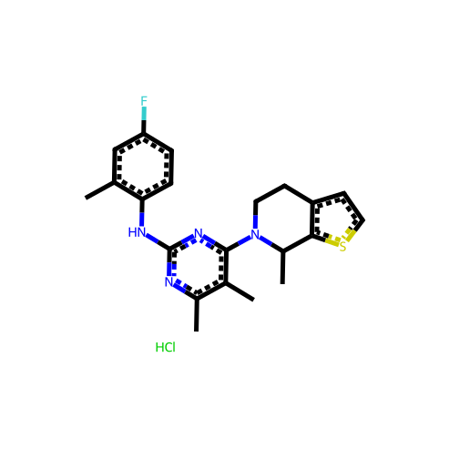 Cc1cc(F)ccc1Nc1nc(C)c(C)c(N2CCc3ccsc3C2C)n1.Cl